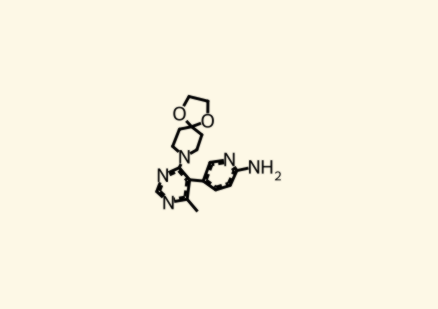 Cc1ncnc(N2CCC3(CC2)OCCO3)c1-c1ccc(N)nc1